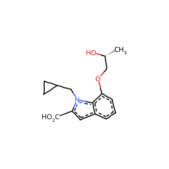 C[C@@H](O)COc1cccc2cc(C(=O)O)n(CC3CC3)c12